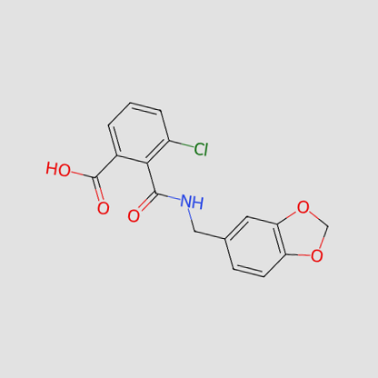 O=C(O)c1cccc(Cl)c1C(=O)NCc1ccc2c(c1)OCO2